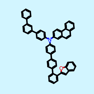 c1ccc(-c2cccc(-c3ccc(N(c4ccc(-c5ccc(-c6ccccc6-c6cc7ccccc7o6)cc5)cc4)c4ccc5c(ccc6ccccc65)c4)cc3)c2)cc1